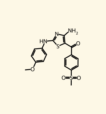 COc1ccc(Nc2nc(N)c(C(=O)c3ccc(S(C)(=O)=O)cc3)s2)cc1